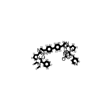 CCN(CC)C(C(=O)N1CCCC1c1ncc(-c2ccc(-c3ccc(-c4cnc([C@@H]5CCCN5C(=O)[C@H](Cc5ccncc5)OC(N)=O)[nH]4)cc3)cc2)[nH]1)c1ccccc1